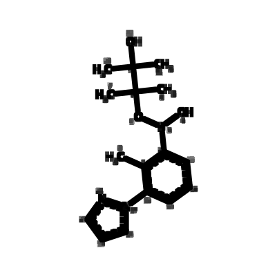 Cc1c(B(O)OC(C)(C)C(C)(C)O)cccc1-n1cccn1